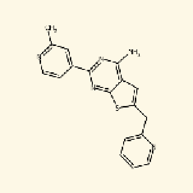 Cc1cc(-c2nc(N)c3cc(Cc4ccccn4)sc3n2)ccn1